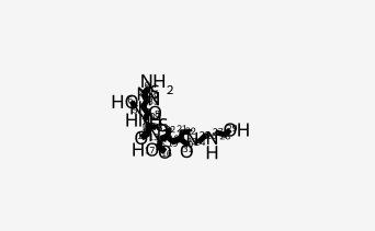 Nc1nc(C(=NO)C(=O)N[C@@H]2C(=O)N3C(C(=O)O)=C(C=C4CCN(CCNCCO)C4=O)CS[C@H]23)ns1